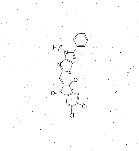 Cn1c(-c2ccccc2)cc2sc(C=C3C(=O)c4cc(Cl)c(Cl)cc4C3=O)nc21